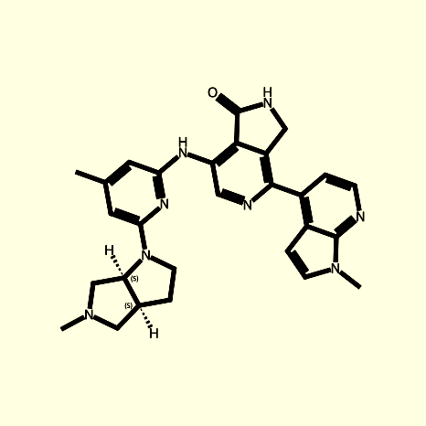 Cc1cc(Nc2cnc(-c3ccnc4c3ccn4C)c3c2C(=O)NC3)nc(N2CC[C@H]3CN(C)C[C@H]32)c1